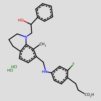 Cc1c(CNc2ccc(CCC(=O)O)c(F)c2)ccc2c1N(CC(O)c1ccccc1)CCC2.Cl.Cl